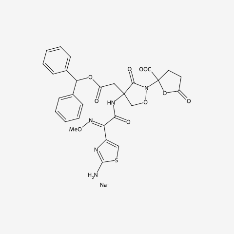 CON=C(C(=O)NC1(CC(=O)OC(c2ccccc2)c2ccccc2)CON(C2(C(=O)[O-])CCC(=O)O2)C1=O)c1csc(N)n1.[Na+]